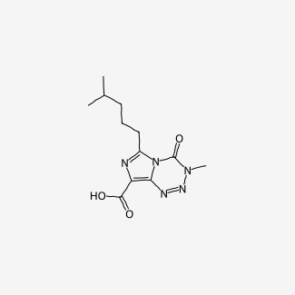 CC(C)CCCc1nc(C(=O)O)c2nnn(C)c(=O)n12